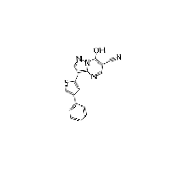 N#Cc1cnc2c(-c3cc(-c4ccccc4)cs3)cnn2c1O